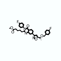 COC(=O)CCCCc1nc2cc(-c3cc([C@@H](C)OCc4ccc(F)cc4)on3)ccc2c(=O)n1-c1ccc(F)cc1